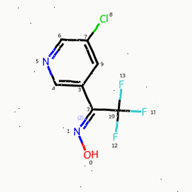 O/N=C(/c1cncc(Cl)c1)C(F)(F)F